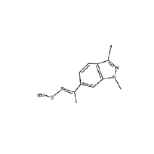 C/C(=N\SC(C)(C)C)c1ccc2c(C)nn(C)c2c1